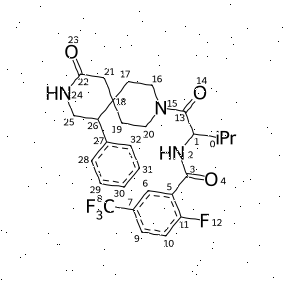 CC(C)C(NC(=O)c1cc(C(F)(F)F)ccc1F)C(=O)N1CCC2(CC1)CC(=O)NCC2c1ccccc1